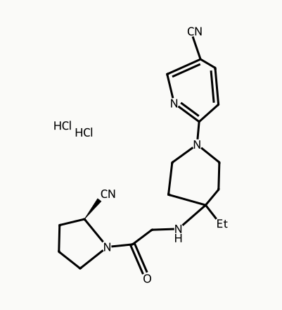 CCC1(NCC(=O)N2CCC[C@H]2C#N)CCN(c2ccc(C#N)cn2)CC1.Cl.Cl